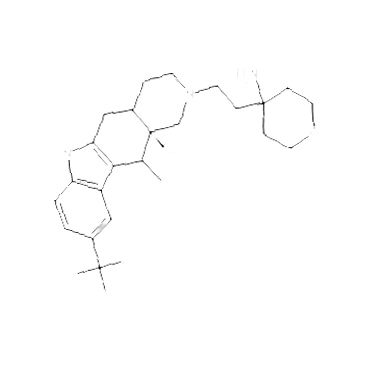 CC1c2c([nH]c3ccc(C(F)(F)F)cc23)C[C@H]2CCN(CCC3(N)CCOCC3)C[C@H]12